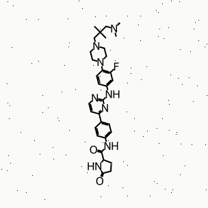 CN(C)CC(C)(C)CN1CCN(c2ccc(Nc3nccc(-c4ccc(NC(=O)C5CCC(=O)N5)cc4)n3)cc2F)CC1